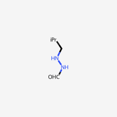 CC(C)CNNC=O